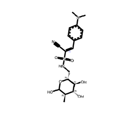 C[C@H]1C(O)O[C@H](CNS(=O)(=O)/C(C#N)=C/c2ccc(N(C)C)cc2)[C@@H](O)[C@@H]1O